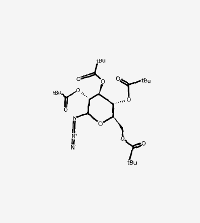 CC(C)(C)C(=O)OC[C@H]1OC(N=[N+]=[N-])[C@H](OC(=O)C(C)(C)C)[C@@H](OC(=O)C(C)(C)C)[C@@H]1OC(=O)C(C)(C)C